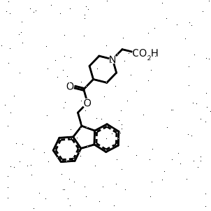 O=C(O)CN1CCC(C(=O)OCC2c3ccccc3-c3ccccc32)CC1